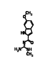 CNC(N)=NC(=O)c1cc2ccc(OC)cc2[nH]1